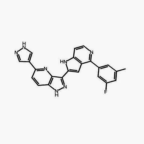 Cc1cc(F)cc(-c2nccc3[nH]c(-c4n[nH]c5ccc(-c6cn[nH]c6)nc45)cc23)c1